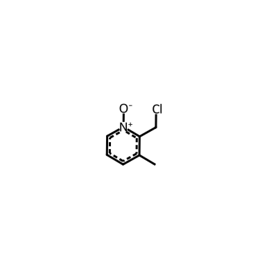 Cc1ccc[n+]([O-])c1CCl